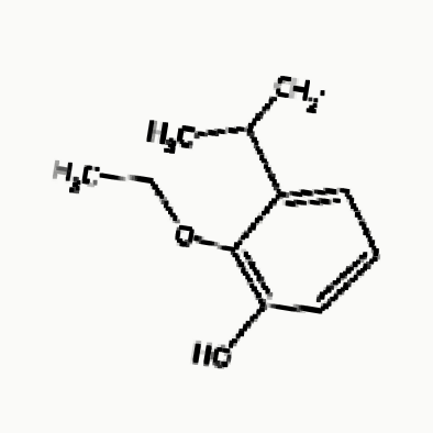 [CH2]C(C)c1cccc(O)c1OCC